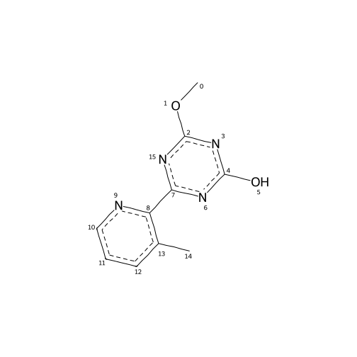 COc1nc(O)nc(-c2ncccc2C)n1